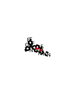 CN1CCN(c2cnc(N3CCC(c4nc5c(c(C6CCC(F)(F)CC6)c4C(F)c4ccc(C(F)(F)F)cc4)[C@@H](O)CC(C)(C)C5)CC3)nc2)CC1